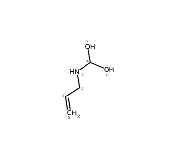 C=CCNC(O)O